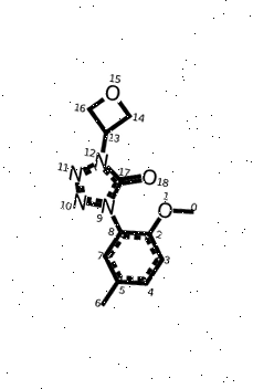 COc1ccc(C)cc1-n1nnn(C2COC2)c1=O